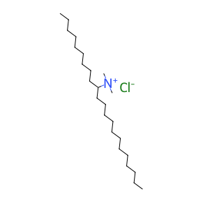 CCCCCCCCCCCCC(CCCCCCCCC)[N+](C)(C)C.[Cl-]